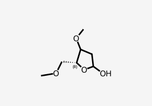 COC[C@H]1OC(O)CC1OC